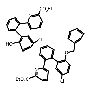 CCOC(=O)c1cccc(-c2ccccc2-c2cc(Cl)ccc2O)n1.CCOC(=O)c1cccc(-c2ccccc2-c2cc(Cl)ccc2OCc2ccccc2)n1